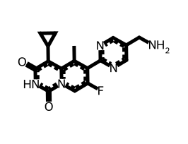 Cc1c(-c2ncc(CN)cn2)c(F)cn2c(=O)[nH]c(=O)c(C3CC3)c12